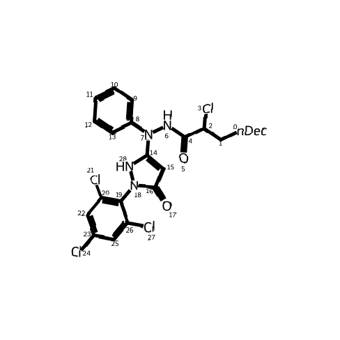 CCCCCCCCCCCC(Cl)C(=O)NN(c1ccccc1)c1cc(=O)n(-c2c(Cl)cc(Cl)cc2Cl)[nH]1